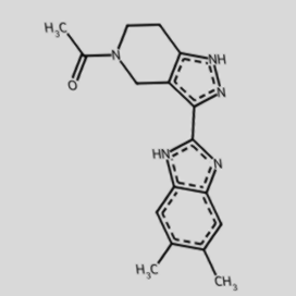 CC(=O)N1CCc2[nH]nc(-c3nc4cc(C)c(C)cc4[nH]3)c2C1